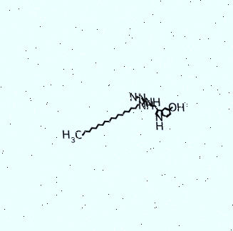 CCCCCCCCCCCCCCCCCCCN/C(=N\C#N)NCCc1c[nH]c2ccc(O)cc12